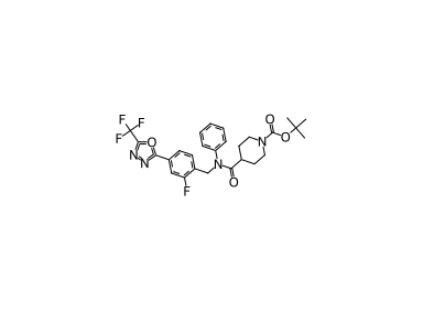 CC(C)(C)OC(=O)N1CCC(C(=O)N(Cc2ccc(-c3nnc(C(F)(F)F)o3)cc2F)c2ccccc2)CC1